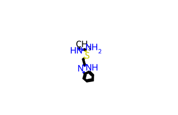 CNC(N)SCc1nc2ccccc2[nH]1